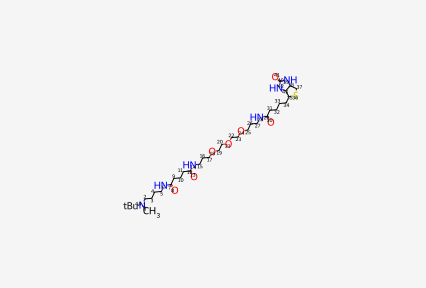 CN(CCCCNC(=O)CCCC(=O)NCCCOCCOCCOCCCNC(=O)CCCC[C@@H]1SCC2NC(=O)NC21)C(C)(C)C